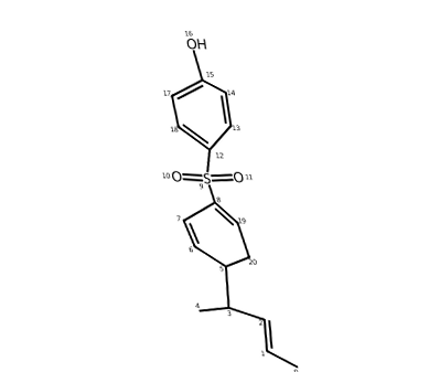 CC=CC(C)C1C=CC(S(=O)(=O)c2ccc(O)cc2)=CC1